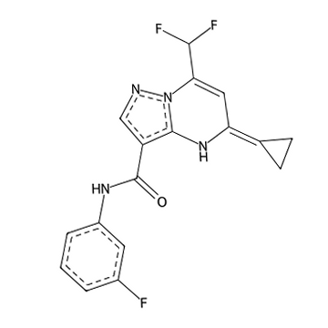 O=C(Nc1cccc(F)c1)c1cnn2c1NC(=C1CC1)C=C2C(F)F